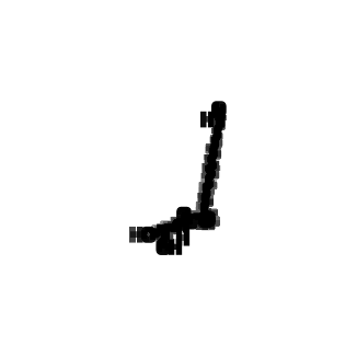 O=CNCCCCCCCCCCCCCCCCCCc1ccccc1COC(=O)NCCCN(CCO)CCO